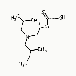 CC(C)CN(CCOC(=S)S)CC(C)C